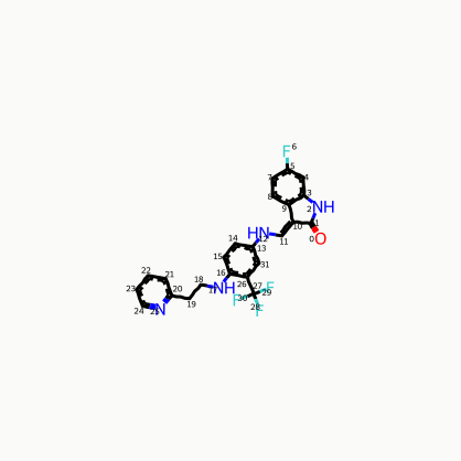 O=C1Nc2cc(F)ccc2/C1=C\Nc1ccc(NCCc2ccccn2)c(C(F)(F)F)c1